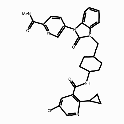 CNC(=O)c1ccc(-n2c(=O)n(CC3CCC(NC(=O)c4cc(Cl)cnc4C4CC4)CC3)c3ccccc32)cn1